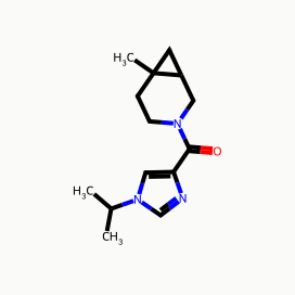 CC(C)n1cnc(C(=O)N2CCC3(C)CC3C2)c1